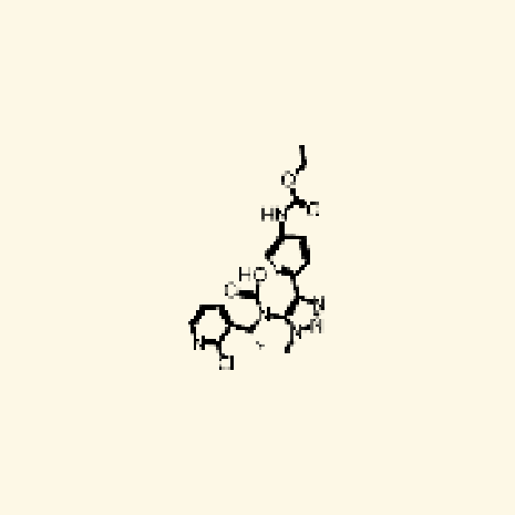 CCOC(=O)Nc1ccc(-c2nnn(C)c2N(C(=O)O)[C@H](C)c2cccnc2Cl)nc1